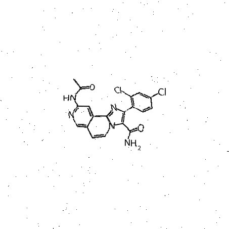 CC(=O)Nc1cc2c(ccn3c(C(N)=O)c(-c4ccc(Cl)cc4Cl)nc23)cn1